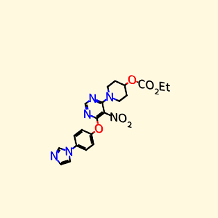 CCOC(=O)OC1CCN(c2ncnc(Oc3ccc(-n4ccnc4)cc3)c2[N+](=O)[O-])CC1